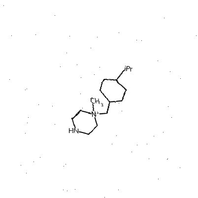 CC(C)C1CCC(C[N+]2(C)CCNCC2)CC1